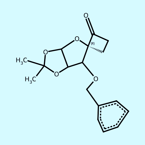 CC1(C)OC2O[C@]3(CCC3=O)C(OCc3ccccc3)C2O1